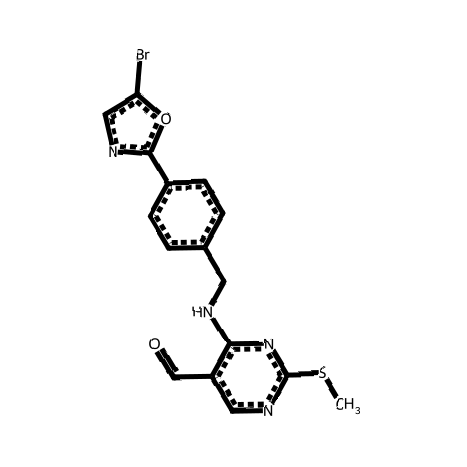 CSc1ncc(C=O)c(NCc2ccc(-c3ncc(Br)o3)cc2)n1